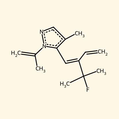 C=C/C(=C\c1c(C)cnn1C(=C)C)C(C)(C)F